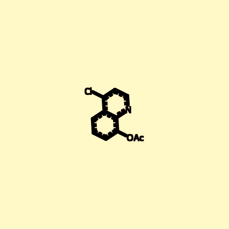 CC(=O)Oc1cccc2c(Cl)ccnc12